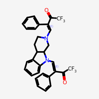 O=C(/C(=C/N1CCC2c3ccccc3N(/C=C(/C(=O)C(F)(F)F)c3ccccc3)C2C1)c1ccccc1)C(F)(F)F